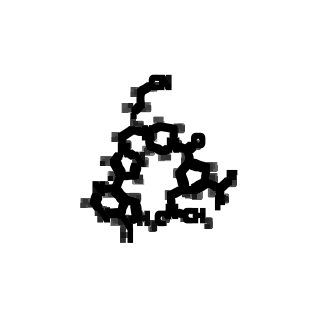 CN(C)Cc1cc(C(=O)N2CCN([C@@H](CCCC#N)Cn3cc(-c4ncnc5[nH]ccc45)cn3)CC2)cc(C(F)F)c1